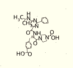 CC(C)Nc1cc(C(=O)N[C@@H](Cc2ccc(C(=O)O)cc2)C(=O)N2CCN(C(=O)O)CC2)nc(-c2ccccc2)n1